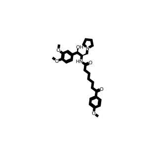 COc1ccc(C(=O)CCCCCC(=O)N[C@H](CN2CCCC2)[C@H](O)c2ccc(OC)c(OC)c2)cc1